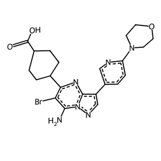 Nc1c(Br)c(C2CCC(C(=O)O)CC2)nc2c(-c3ccc(N4CCOCC4)nc3)cnn12